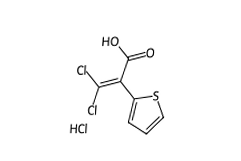 Cl.O=C(O)C(=C(Cl)Cl)c1cccs1